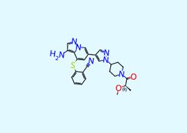 CO[C@H](C)C(=O)N1CCC(n2cc(-c3cc(Sc4ccccc4C#N)c4c(N)cnn4c3)cn2)CC1